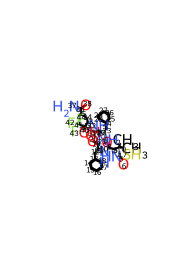 CC(C)[C@H](NC(=O)S)C(=O)N[C@@H](Cc1ccccc1)C(=O)N[C@@H](Cc1ccccc1)C(=O)NC(CCC(N)=O)C(O)C(F)(F)F